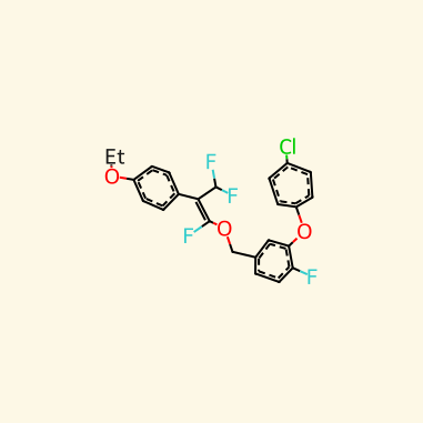 CCOc1ccc(C(=C(F)OCc2ccc(F)c(Oc3ccc(Cl)cc3)c2)C(F)F)cc1